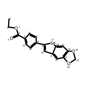 CCOC(=O)c1ccc(-c2cc3cc4c(cc3[se]2)OCO4)cc1